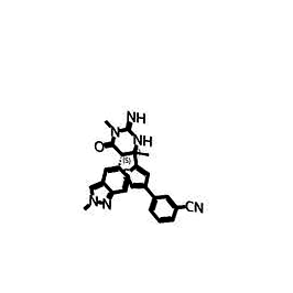 CN1C(=N)N[C@](C)(c2cc(-c3cccc(C#N)c3)cs2)[C@H](c2ccc3nn(C)cc3c2)C1=O